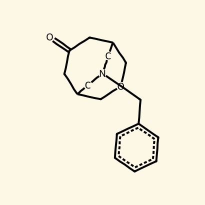 O=C1CC2COCC(C1)CN(Cc1ccccc1)C2